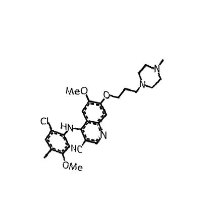 COc1cc(Nc2c(C#N)cnc3cc(OCCCN4CCN(C)CC4)c(OC)cc23)c(Cl)cc1C